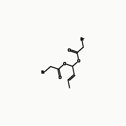 CC=CC(OC(=O)CBr)OC(=O)CBr